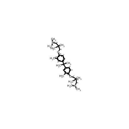 Cc1cc(C(C)(C)c2ccc(OCC(C)(C)CN(C)C)c(C)c2)ccc1OCC(C)(C)CN(C)C